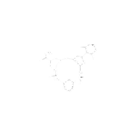 COC(=O)C1CC2CN(C1)C(=O)Nc1cccc(c1)S(=O)(=O)Nc1nc(cc(-c3c(C)cccc3C)n1)O2